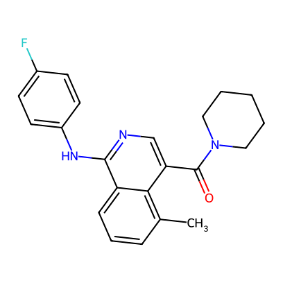 Cc1cccc2c(Nc3ccc(F)cc3)ncc(C(=O)N3CCCCC3)c12